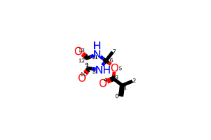 C=C(C)C(=O)OC(C)(NC=O)NC=O